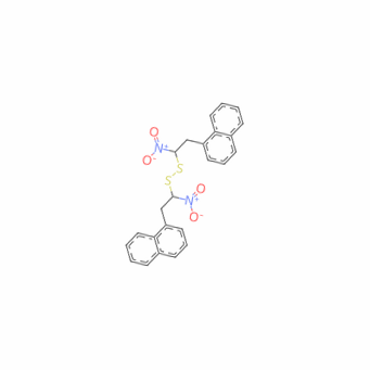 O=[N+]([O-])C(Cc1cccc2ccccc12)SSC(Cc1cccc2ccccc12)[N+](=O)[O-]